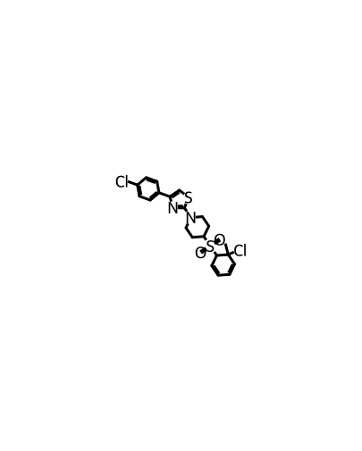 CC1(Cl)C=CC=CC1S(=O)(=O)C1CCN(c2nc(-c3ccc(Cl)cc3)cs2)CC1